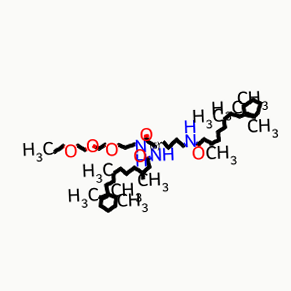 CCCOCCOCCOCCCNC(=O)[C@H](CCCCNC(=O)CC(C)CCCC(C)CCC1=C(C)CCCC1(C)C)NC(=O)CC(C)CCCC(C)CCC1=C(C)CCCC1(C)C